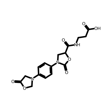 O=C(O)CCNC(=O)C1CN(c2ccc(N3COC(=O)C3)cc2)C(=O)O1